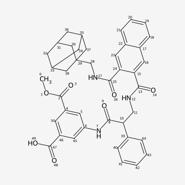 COC(=O)c1cc(NC(=O)C(CNC(=O)c2cc3ccccc3cc2C(=O)NCC23CC4CC(CC(C4)C2)C3)c2ccccc2)cc(C(=O)O)c1